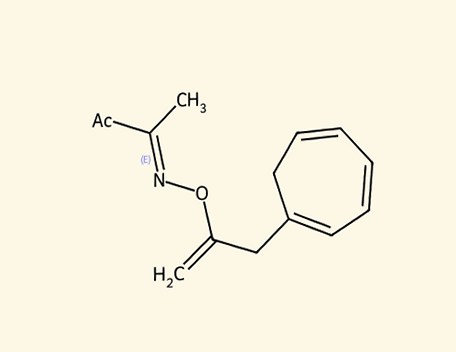 C=C(CC1=CC=CC=CC1)O/N=C(\C)C(C)=O